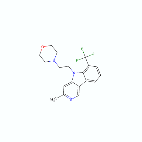 Cc1cc2c(cn1)c1cccc(C(F)(F)F)c1n2CCN1CCOCC1